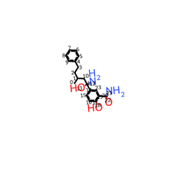 CC(CCc1ccccc1)CC(N)(O)c1ccc(O)c(C(N)=O)c1